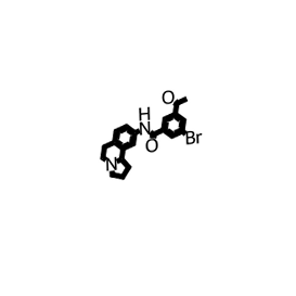 CC(=O)c1cc(Br)cc(C(=O)Nc2ccc3c(c2)C2CCCN2CC3)c1